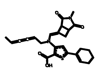 CC=C=C=CCN(/C=C1\CC2C(=O)N(C)C(=O)C12)c1cc(C2=CCCCC2)sc1C(=O)O